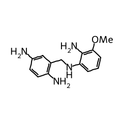 COc1cccc(NCc2cc(N)ccc2N)c1N